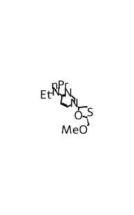 CCCN(CC)C1=NCN([C@H]2CS[C@@H](COC)O2)C=C1